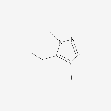 CCc1c(I)[c]nn1C